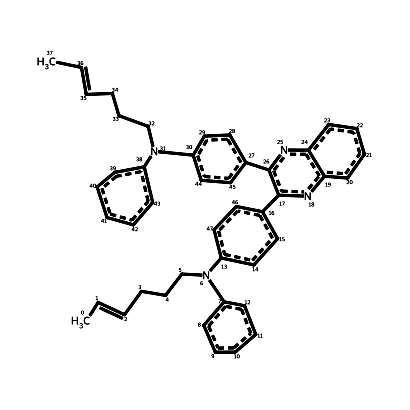 CC=CCCCN(c1ccccc1)c1ccc(-c2nc3ccccc3nc2-c2ccc(N(CCCC=CC)c3ccccc3)cc2)cc1